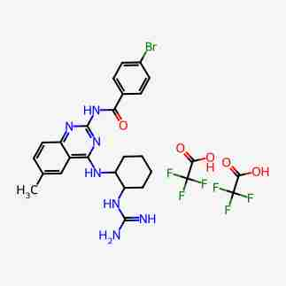 Cc1ccc2nc(NC(=O)c3ccc(Br)cc3)nc(NC3CCCCC3NC(=N)N)c2c1.O=C(O)C(F)(F)F.O=C(O)C(F)(F)F